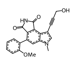 COc1ccccc1-c1cc2c(c(C#CCO)cn2C)c2c1C(=O)NC2=O